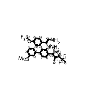 CSc1cccc(-c2ccc(-c3c(C)c(C(C)(F)F)nn3C)c(N(N)/C(=C\N)c3ccc(OC(F)(F)F)cc3)c2)c1